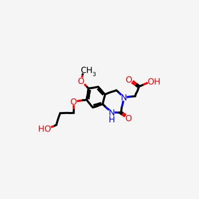 COc1cc2c(cc1OCCCO)NC(=O)N(CC(=O)O)C2